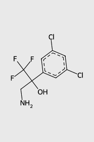 NCC(O)(c1cc(Cl)cc(Cl)c1)C(F)(F)F